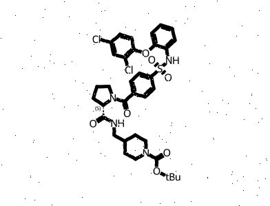 CC(C)(C)OC(=O)N1CCC(CNC(=O)[C@@H]2CCCN2C(=O)c2ccc(S(=O)(=O)Nc3ccccc3Oc3ccc(Cl)cc3Cl)cc2)CC1